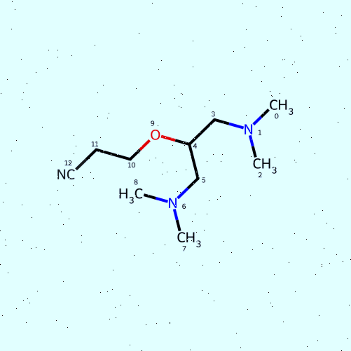 CN(C)CC(CN(C)C)OCCC#N